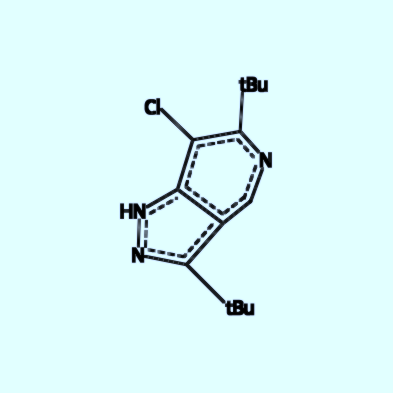 CC(C)(C)c1ncc2c(C(C)(C)C)n[nH]c2c1Cl